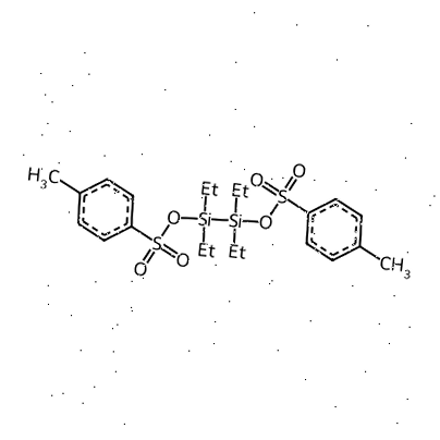 CC[Si](CC)(OS(=O)(=O)c1ccc(C)cc1)[Si](CC)(CC)OS(=O)(=O)c1ccc(C)cc1